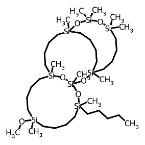 CCCCC[Si]1(C)CCCC[Si](C)(OC)CCCC[Si]2(C)CCCC[Si]3(C)CCCC[Si](C)(CCCC[Si](C)(C)O[Si](C)(C)O3)O[Si](C)(O1)O2